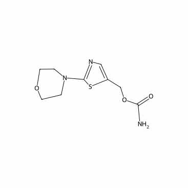 NC(=O)OCc1cnc(N2CCOCC2)s1